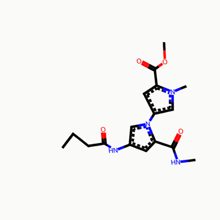 CCCC(=O)Nc1cc(C(=O)NC)n(-c2cc(C(=O)OC)n(C)c2)c1